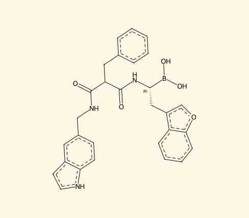 O=C(NCc1ccc2[nH]ccc2c1)C(Cc1ccccc1)C(=O)N[C@@H](Cc1coc2ccccc12)B(O)O